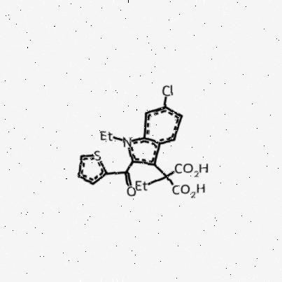 CCn1c(C(=O)c2cccs2)c(C(CC)(C(=O)O)C(=O)O)c2ccc(Cl)cc21